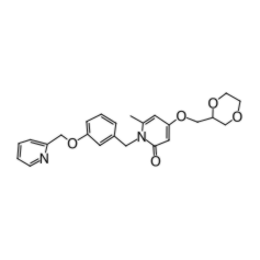 Cc1cc(OCC2COCCO2)cc(=O)n1Cc1cccc(OCc2ccccn2)c1